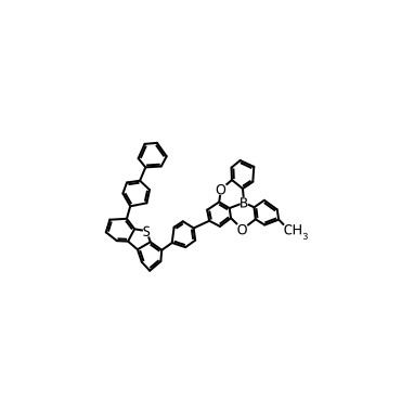 Cc1ccc2c(c1)Oc1cc(-c3ccc(-c4cccc5c4sc4c(-c6ccc(-c7ccccc7)cc6)cccc45)cc3)cc3c1B2c1ccccc1O3